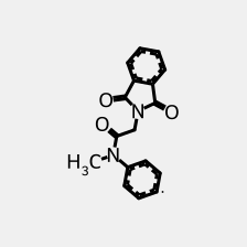 CN(C(=O)CN1C(=O)c2ccccc2C1=O)c1cc[c]cc1